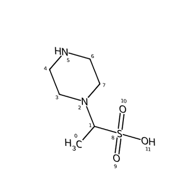 CC(N1CCNCC1)S(=O)(=O)O